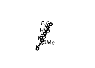 COc1cc2c(Oc3ccc(NC(=O)N4C=CN(c5ccccc5C(F)(F)F)C4)cc3F)ccnc2cc1OCCCN1CCCCC1